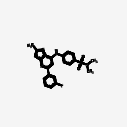 Cc1cc2nc(-c3cccc(F)c3)cc(Nc3ccc(S(=O)(=O)N(C)C)cc3)n2n1